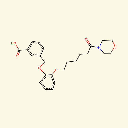 O=C(O)c1cccc(COc2ccccc2OCCCCCC(=O)N2CCOCC2)c1